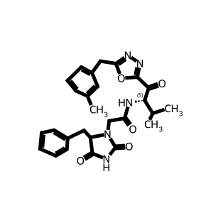 Cc1cccc(Cc2nnc(C(=O)[C@@H](NC(=O)CN3C(=O)NC(=O)C3Cc3ccccc3)C(C)C)o2)c1